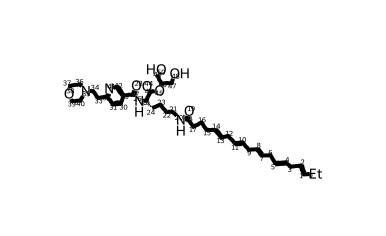 CCC=CCC=CCC=CCC=CCC=CCCCC(=O)NCCCC[C@H](NC(=O)c1ccc(CCN2CCOCC2)nc1)C(=O)OC(CO)CO